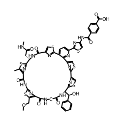 CNC(=O)C[C@@H]1NC(=O)c2csc(n2)-c2ccc(-c3nc(NC(=O)c4ccc(C(=O)O)cc4)cs3)nc2-c2csc(n2)-c2csc(n2)[C@H]([C@@H](O)c2ccccc2)NC(=O)CNC(=O)c2nc(sc2COC)NC(=O)c2nc1sc2C